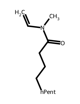 C=CN(C)C(=O)CCCCCCCC